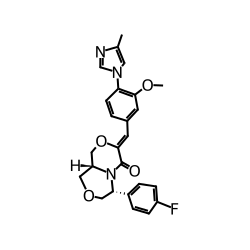 COc1cc(/C=C2\OC[C@H]3COC[C@@H](c4ccc(F)cc4)N3C2=O)ccc1-n1cnc(C)c1